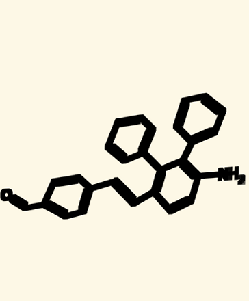 Nc1ccc(C=Cc2ccc(C=O)cc2)c(-c2ccccc2)c1-c1ccccc1